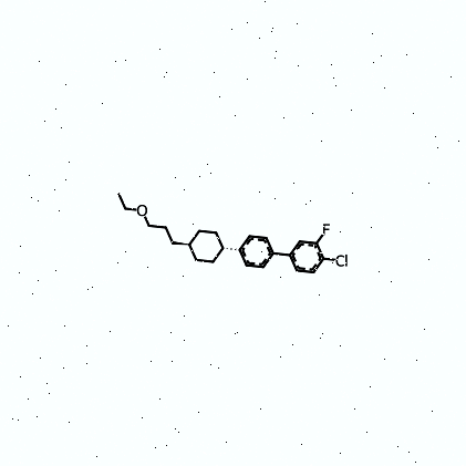 CCOCCC[C@H]1CC[C@H](c2ccc(-c3ccc(Cl)c(F)c3)cc2)CC1